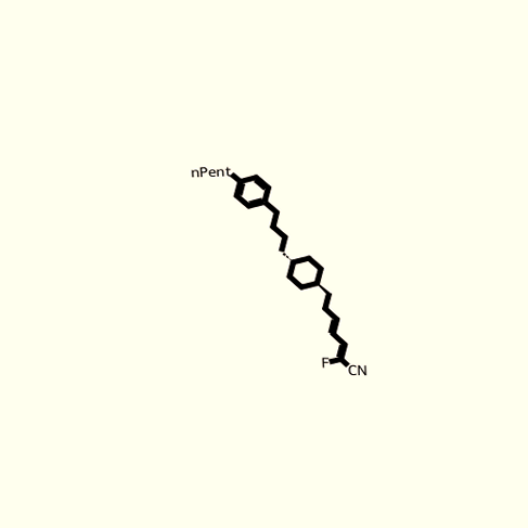 CCCCCc1ccc(CCCC[C@H]2CC[C@H](CC/C=C/C=C(\F)C#N)CC2)cc1